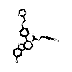 CC#CCOC(=O)N1CCc2c([nH]c3ccc(Cl)cc23)C1c1ccc(OCC2OCCO2)cc1